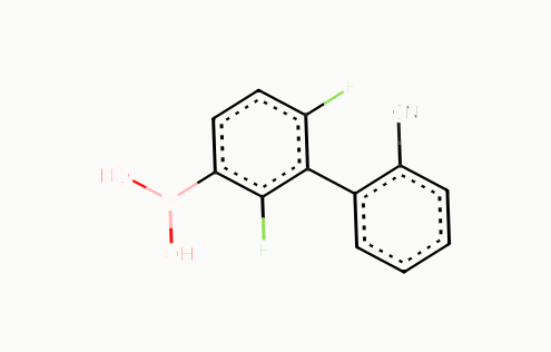 N#Cc1ccccc1-c1c(F)ccc(B(O)O)c1F